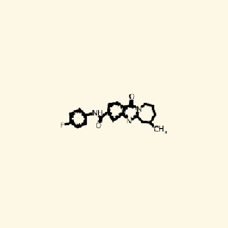 CC1CCCn2c(nc3cc(C(=O)Nc4ccc(F)cc4)ccc3c2=O)C1